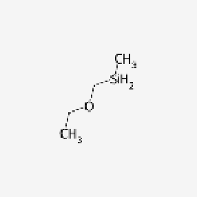 CCOC[SiH2]C